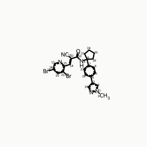 Cn1cc(-c2ccc(C3(NC(=O)C(C#N)=Cc4ncc(Br)cc4Br)CCCC3)cc2)cn1